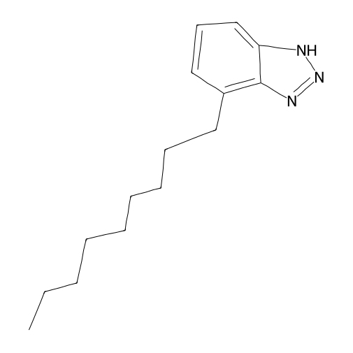 CCCCCCCCCc1cccc2[nH]nnc12